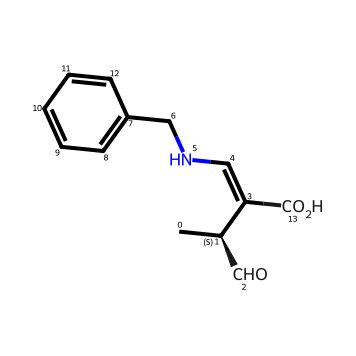 C[C@H](C=O)C(=CNCc1ccccc1)C(=O)O